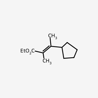 CCOC(=O)C(C)=C(C)C1CCCC1